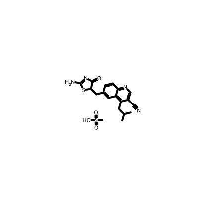 CC(C)Cc1c(C#N)cnc2ccc(CC3SC(N)=NC3=O)cc12.CS(=O)(=O)O